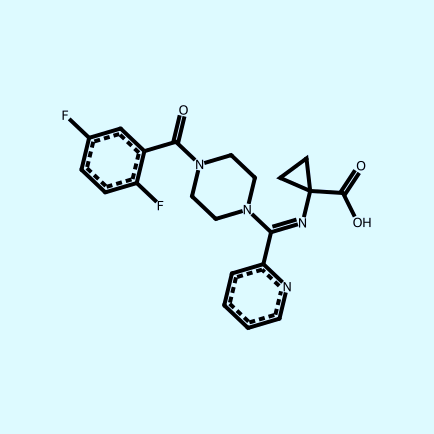 O=C(c1cc(F)ccc1F)N1CCN(C(=NC2(C(=O)O)CC2)c2ccccn2)CC1